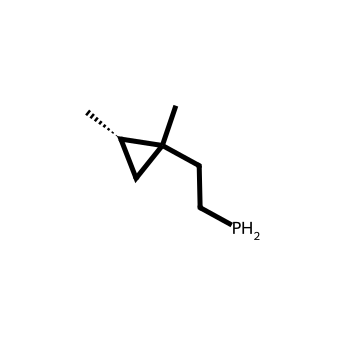 C[C@H]1CC1(C)CCP